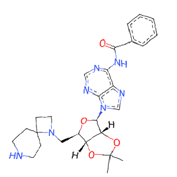 CC1(C)O[C@@H]2[C@H](O1)[C@@H](CN1CCC13CCNCC3)O[C@H]2n1cnc2c(NC(=O)c3ccccc3)ncnc21